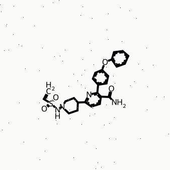 C=CS(=O)(=O)NN1CCC(c2ccc(C(N)=O)c(-c3ccc(Oc4ccccc4)cc3)n2)CC1